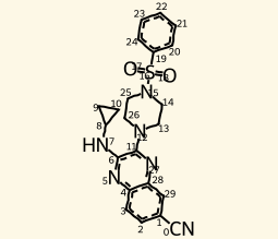 N#Cc1ccc2nc(NC3CC3)c(N3CCN(S(=O)(=O)c4ccccc4)CC3)nc2c1